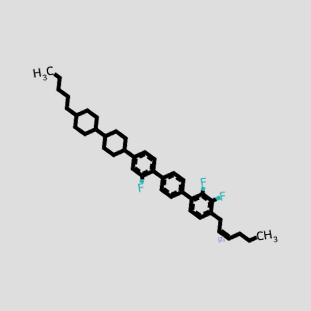 CCC/C=C\Cc1ccc(-c2ccc(-c3ccc(C4CCC(C5CCC(CCCCC)CC5)CC4)cc3F)cc2)c(F)c1F